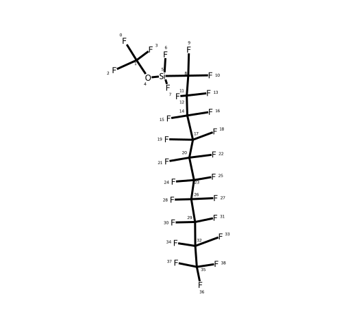 FC(F)(F)O[Si](F)(F)C(F)(F)C(F)(F)C(F)(F)C(F)(F)C(F)(F)C(F)(F)C(F)(F)C(F)(F)C(F)(F)C(F)(F)F